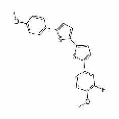 COc1ccc(-c2ccc(-c3ccc(-c4ccc(OC)c(F)c4)s3)s2)cc1